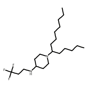 CCCCCCCC(CCCCC)N1CCC(NCCC(F)(F)F)CC1